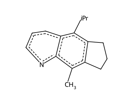 Cc1c2c(c(C(C)C)c3cccnc13)CCC2